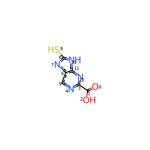 O=C(O)c1ncc2nc(S)[nH]c2n1